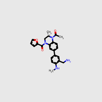 CNc1ccc(-c2ccc3c(c2)N(C(=O)c2ccco2)C[C@H](C)N3C(C)=O)cc1CN